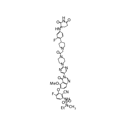 CCN(C)S(=O)(=O)Nc1ccc(F)c(Oc2ccc3ncn(-c4cnc(N5CCN(C(=O)CN6CCC(c7ccc(N[C@@H]8CCC(=O)NC8=O)cc7F)CC6)CC5)nc4)c(=O)c3c2OC)c1C#N